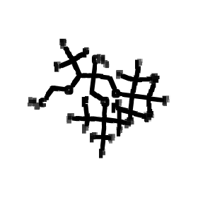 CCOC(C(F)(F)F)C(C)(COC(C(F)(F)F)(C(F)(F)F)C(F)(F)F)COC(C(F)(F)F)(C(F)(F)F)C(F)(F)F